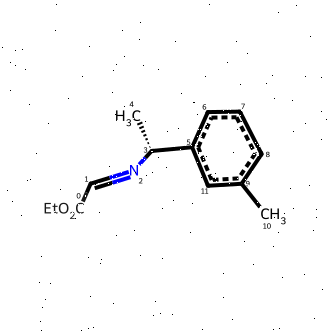 CCOC(=O)/C=N/[C@H](C)c1cccc(C)c1